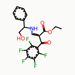 CCOC(=O)C(=CNC(CO)c1ccccc1)C(=O)c1c(F)c(F)c(F)c(F)c1F